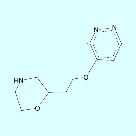 [c]1nnccc1OCCC1CNCCO1